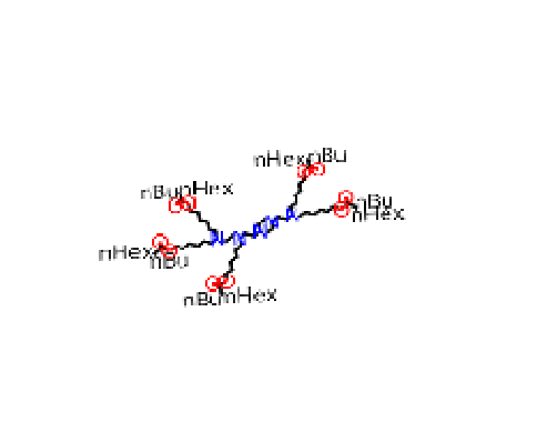 CCCCCCC(CCCC)C(=O)OCCCCCCN(CCCCCCOC(=O)C(CCCC)CCCCCC)CCN(CCCCCCOC(=O)C(CCCC)CCCCCC)CCN1CCN(CCN(CCCCCCOC(=O)C(CCCC)CCCCCC)CCCCCCOC(=O)C(CCCC)CCCCCC)CC1